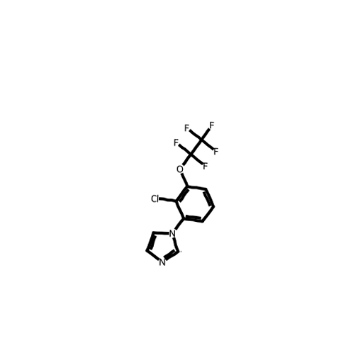 FC(F)(F)C(F)(F)Oc1cccc(-n2[c]ncc2)c1Cl